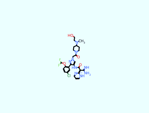 CN(CCO)C1CCN(C(=O)Cn2cc(NC(=O)/C(C(=N)N)=C3\N=CC=CN3)c(-c3cc(Cl)ccc3OC(F)F)n2)CC1